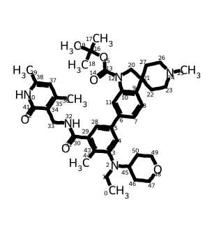 CCN(c1cc(-c2ccc3c(c2)N(C(=O)OC(C)(C)C)CC32CCN(C)CC2)cc(C(=O)NCc2c(C)cc(C)[nH]c2=O)c1C)C1CCOCC1